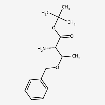 CC(OCc1ccccc1)[C@H](N)C(=O)OC(C)(C)C